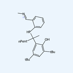 CCCCCC(C)(Pc1ccccc1/C=N/C)c1cc(C(C)(C)C)cc(C(C)(C)C)c1O